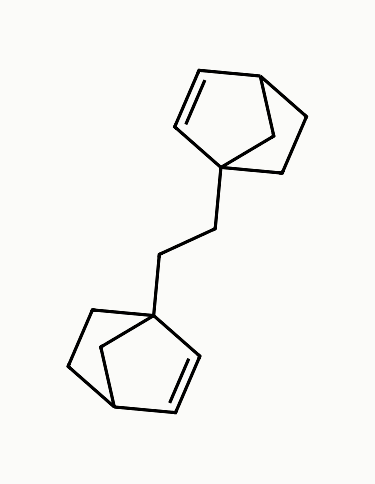 C1=CC2(CCC34C=CC(CC3)C4)CCC1C2